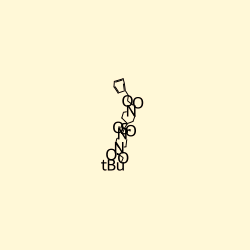 CC(C)(C)OC(=O)N1CCN(S(=O)(=O)C2CCN(C(=O)OCc3ccccc3)CC2)CC1